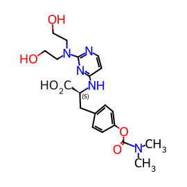 CN(C)C(=O)Oc1ccc(C[C@H](Nc2ccnc(N(CCO)CCO)n2)C(=O)O)cc1